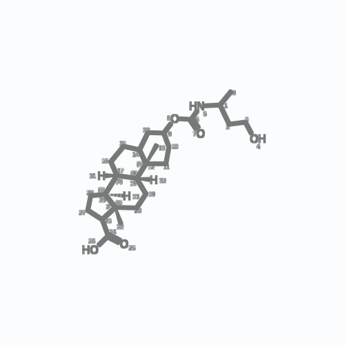 CC(CCO)NC(=O)OC1CC[C@@]2(C)C(CC[C@@H]3[C@H]2CC[C@]2(C)C(C(=O)O)CC[C@@H]32)C1